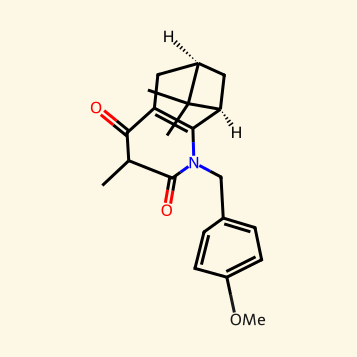 COc1ccc(CN2C(=O)C(C)C(=O)C3=C2[C@@H]2C[C@H](C3)C2(C)C)cc1